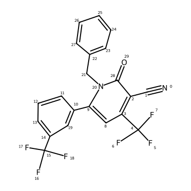 N#Cc1c(C(F)(F)F)cc(-c2cccc(C(F)(F)F)c2)n(Cc2ccccc2)c1=O